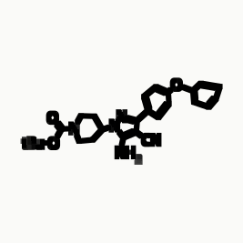 CC(C)(C)OC(=O)N1CCC(n2nc(-c3ccc(Oc4ccccc4)cc3)c(C#N)c2N)CC1